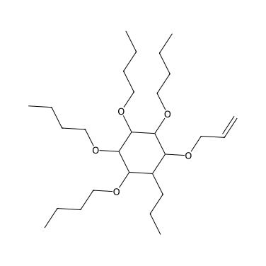 C=CCOC1C(CCC)C(OCCCC)C(OCCCC)C(OCCCC)C1OCCCC